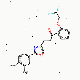 COc1ccc(-c2nc(CCC(=O)c3ccccc3OCC(F)F)co2)cc1OCC(C)C